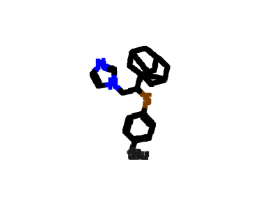 CC(C)(C)c1ccc(SC(Cn2ccnc2)C23CC4CC(CC(C4)C2)C3)cc1